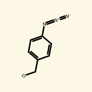 [N-]=[N+]=Nc1ccc(C[O])cc1